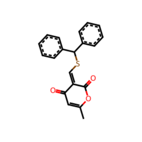 CC1=CC(=O)C(=CSC(c2ccccc2)c2ccccc2)C(=O)O1